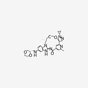 Cc1cc2cc(n1)-c1cnn(C3CC3)c1OCCC[C@@H](C)CN1/C(=N/C2=O)Nc2cc(NC[C@H]3COCCO3)ccc21